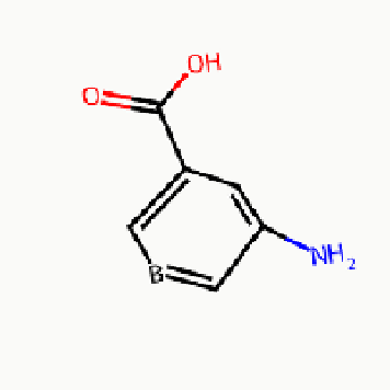 Nc1cbcc(C(=O)O)c1